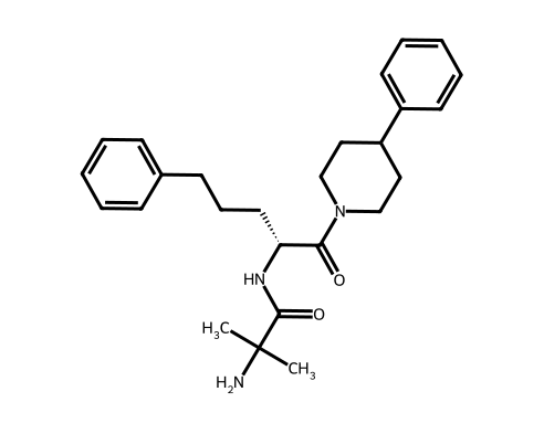 CC(C)(N)C(=O)N[C@H](CCCc1ccccc1)C(=O)N1CCC(c2ccccc2)CC1